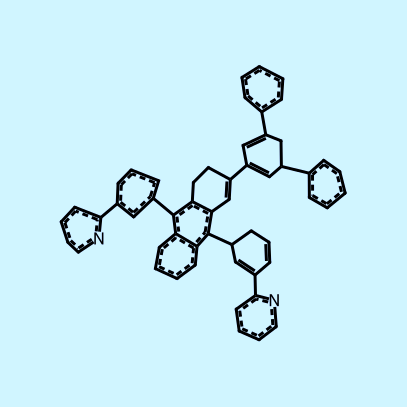 C1=CC(c2ccccn2)=CC(c2c3c(c(-c4cccc(-c5ccccn5)c4)c4ccccc24)CCC(C2=CC(c4ccccc4)CC(c4ccccc4)=C2)=C3)C1